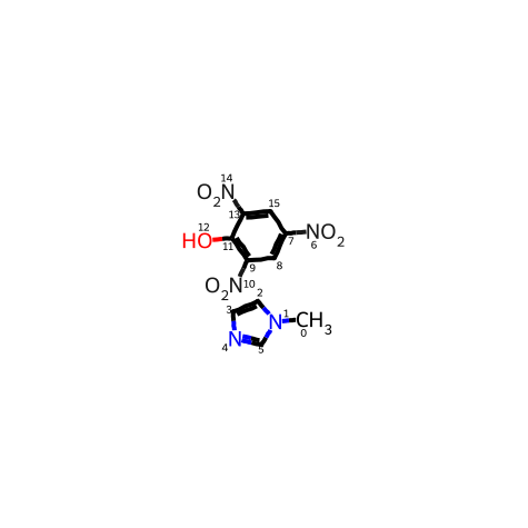 Cn1ccnc1.O=[N+]([O-])c1cc([N+](=O)[O-])c(O)c([N+](=O)[O-])c1